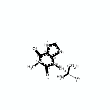 CC(C)[C@H](N)C(=O)O.Cn1c(=O)c2[nH]cnc2n(C)c1=O